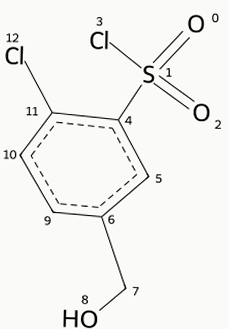 O=S(=O)(Cl)c1cc(CO)ccc1Cl